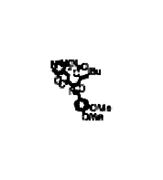 COc1ccc(-c2nc(C(=O)Cc3c(Cl)cncc3Cl)c(C(CC(C)(C)C)OC(N)=O)o2)cc1OC